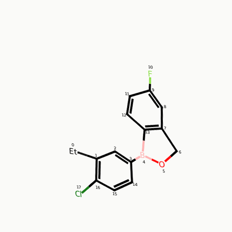 CCc1cc(B2OCc3cc(F)ccc32)ccc1Cl